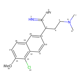 CCCC(=N)C(CCN(C)C)c1ccc2c(Cl)c(OC)ccc2c1